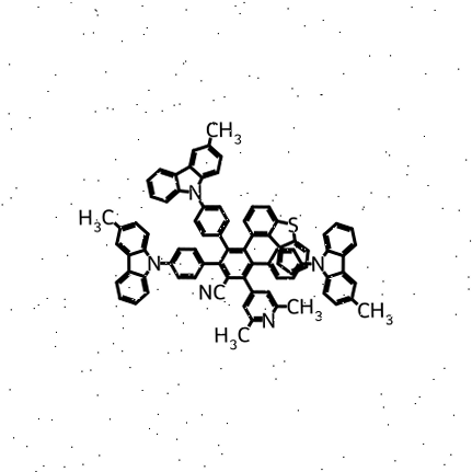 Cc1ccc2c(c1)c1ccccc1n2-c1ccc(-c2c(C#N)c(-c3cc(C)nc(C)c3)c(-c3ccc(-n4c5ccccc5c5cc(C)ccc54)cc3)c(-c3cccc4sc5ccccc5c34)c2-c2ccc(-n3c4ccccc4c4cc(C)ccc43)cc2)cc1